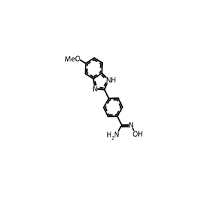 COc1ccc2[nH]c(-c3ccc(/C(N)=N/O)cc3)nc2c1